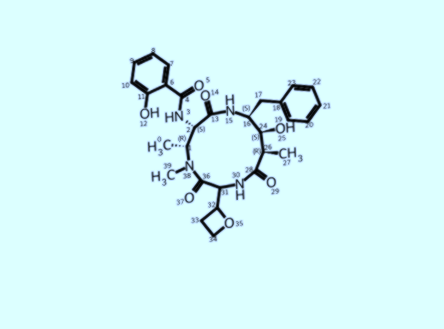 C[C@@H]1[C@H](NC(=O)c2ccccc2O)C(=O)N[C@@H](Cc2ccccc2)[C@@H](O)[C@@H](C)C(=O)NC(C2CCO2)C(=O)N1C